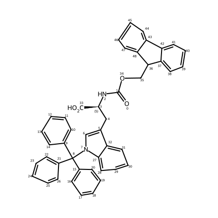 O=C(N[C@@H](Cc1cn(C(c2ccccc2)(c2ccccc2)c2ccccc2)c2ccccc12)C(=O)O)OCC1c2ccccc2-c2ccccc21